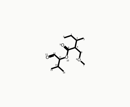 CCC(C)C(COC)C(=O)OC(C=O)C(C)C